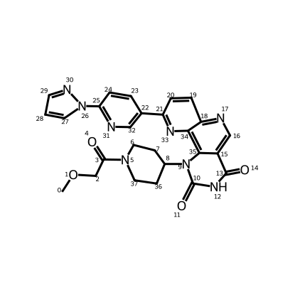 COCC(=O)N1CCC(n2c(=O)[nH]c(=O)c3cnc4ccc(-c5ccc(-n6cccn6)nc5)nc4c32)CC1